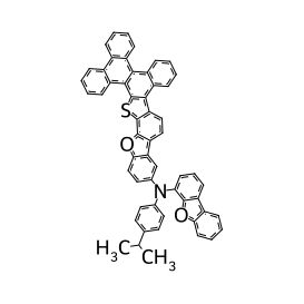 CC(C)c1ccc(N(c2ccc3oc4c(ccc5c4sc4c5c5ccccc5c5c6ccccc6c6ccccc6c45)c3c2)c2cccc3c2oc2ccccc23)cc1